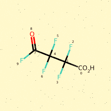 O=C(O)C(F)(F)C(F)(F)C(=O)F